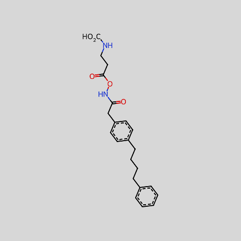 O=C(O)NCCC(=O)ONC(=O)Cc1ccc(CCCCc2ccccc2)cc1